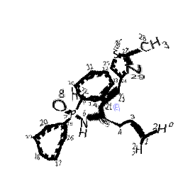 [2H]C([2H])=CC[C@@H](NP(=O)(c1ccccc1)c1ccccc1)/C(C)=C/c1csc(C)n1